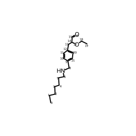 CCCCCCCNCc1ccc(CC(C=O)OCC)cc1